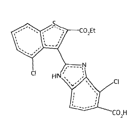 CCOC(=O)c1sc2cccc(Cl)c2c1-c1nc2c(Cl)c(C(=O)O)ccc2[nH]1